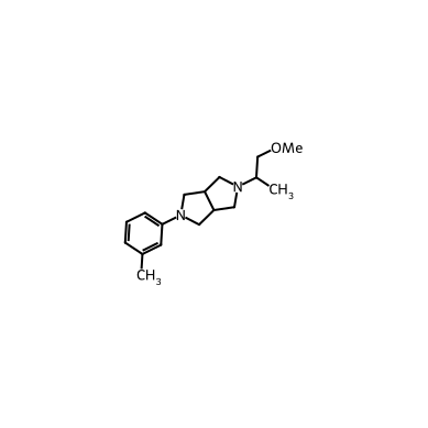 COCC(C)N1CC2CN(c3cccc(C)c3)CC2C1